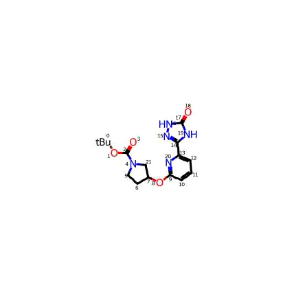 CC(C)(C)OC(=O)N1CCC(Oc2cccc(-c3n[nH]c(=O)[nH]3)n2)C1